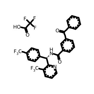 O=C(N[C@@H](c1ccc(C(F)(F)F)cc1)c1ncccc1C(F)(F)F)c1cccc(C(=O)c2ccccc2)c1.O=C(O)C(F)(F)F